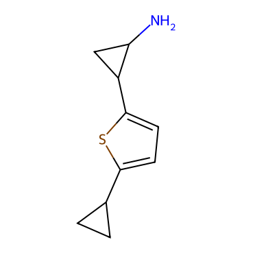 NC1CC1c1ccc(C2CC2)s1